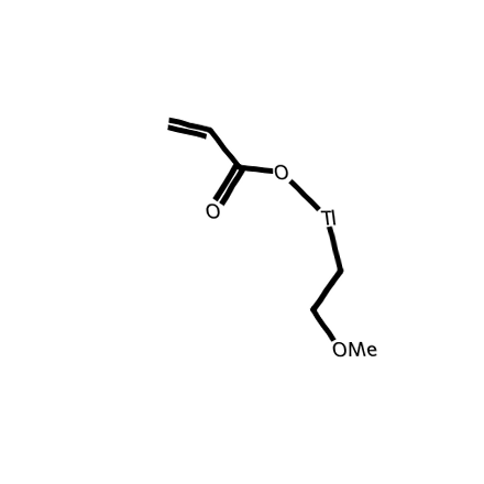 C=CC(=O)[O][Tl][CH2]COC